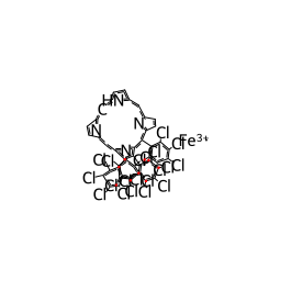 Clc1c(Cl)c(Cl)c(-c2c(-c3c(Cl)c(Cl)c(Cl)c(Cl)c3Cl)c3c(-c4c(Cl)c(Cl)c(Cl)c(Cl)c4Cl)c4nc(cc5ccc(cc6nc(cc2n3-c2c(Cl)c(Cl)c(Cl)c(Cl)c2Cl)C=C6)[nH]5)C=C4)c(Cl)c1Cl.[Fe+3]